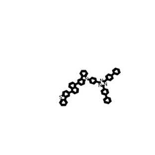 c1ccc(-c2ccc(-c3nc(-c4ccc(-c5ccccc5)cc4)nc(-c4ccc(-n5c6ccccc6c6cc(-c7cccc8c(-c9ccc%10sc%11ccccc%11c%10c9)cccc78)ccc65)cc4)n3)cc2)cc1